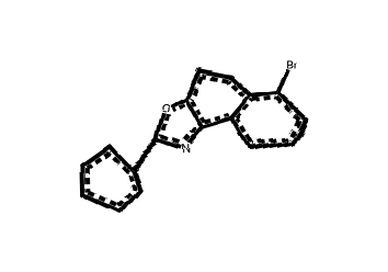 Brc1cccc2c1ccc1oc(-c3ccccc3)nc12